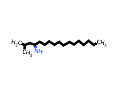 CCCCCCCCCCCCCC([NH])CC(C)C